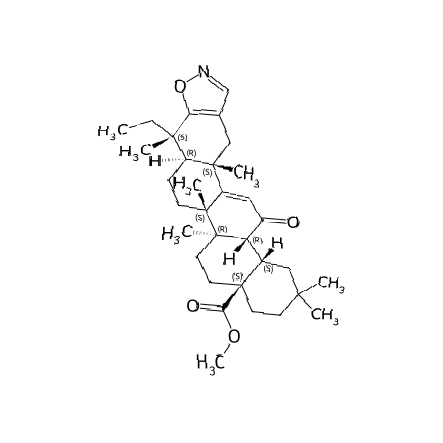 CC[C@]1(C)c2oncc2C[C@]2(C)C3=CC(=O)[C@@H]4[C@@H]5CC(C)(C)CC[C@]5(C(=O)OC)CC[C@@]4(C)[C@]3(C)CC[C@H]21